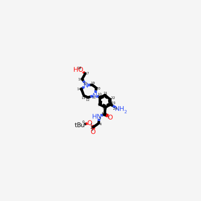 CC(C)(C)OC(=O)CNC(=O)c1cc(N2CCCN(CCO)CC2)ccc1N